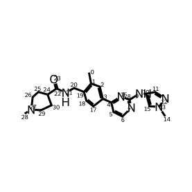 Cc1cc(-c2ccnc(Nc3cnn(C)c3)n2)ccc1CNC(=O)C1CCN(C)CC1